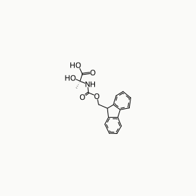 C[C@@](O)(NC(=O)OCC1c2ccccc2-c2ccccc21)C(=O)O